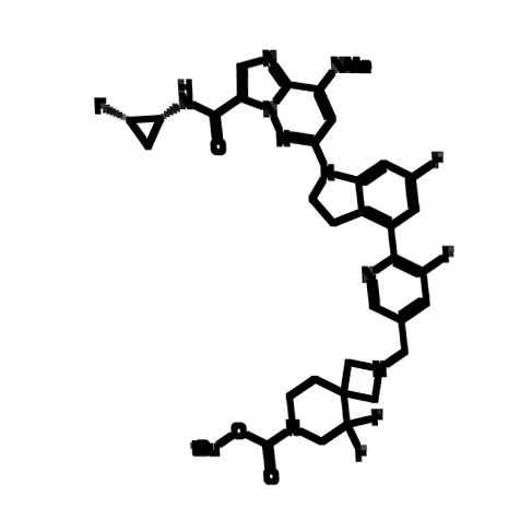 CNc1cc(N2CCc3c(-c4ncc(CN5CC6(CCN(C(=O)OC(C)(C)C)CC6(F)F)C5)cc4F)cc(F)cc32)nn2c(C(=O)N[C@@H]3C[C@@H]3F)cnc12